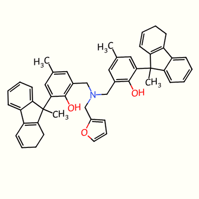 Cc1cc(CN(Cc2ccco2)Cc2cc(C)cc(C3(C)C4=C(C=CCC4)c4ccccc43)c2O)c(O)c(C2(C)C3=C(CCC=C3)c3ccccc32)c1